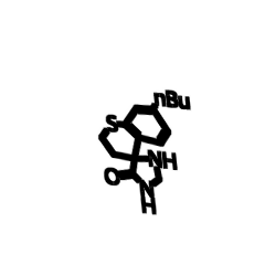 CCCCc1ccc2c(c1)SCCC21NCNC1=O